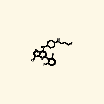 FCCCNC1CCC(Nc2nc(-c3c(F)cccc3F)nc3c(Cl)cnn23)CC1